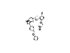 O=C(Nc1cc(F)ccc1N1CCNCC1)c1ccn2ncc(-c3ccc(COc4ccccc4)cc3)c2n1